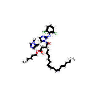 CCCCC/C=C\C/C=C\CCCCC[C@H](C(=O)N1CCN=C1Nc1c(Cl)cccc1Cl)[C@@H](Cc1cncn1C)C(=O)OCCCCC